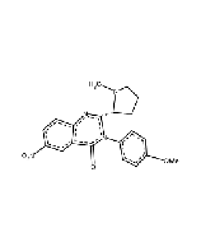 COc1ccc(-n2c([C@H]3CCCN3C)nc3ccc([N+](=O)[O-])cc3c2=O)cc1